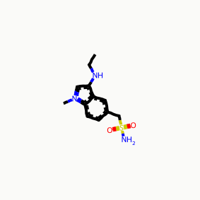 CCNc1cn(C)c2ccc(CS(N)(=O)=O)cc12